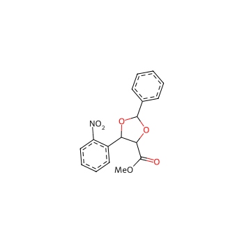 COC(=O)C1OC(c2ccccc2)OC1c1ccccc1[N+](=O)[O-]